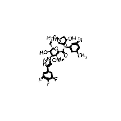 CO[C@@H]1[C@@H](n2cc(-c3cc(F)c(F)c(F)c3)nn2)[C@@H](O)[C@@H](CO)O[C@H]1C(=O)N(c1cc(C)cc(Br)c1)[C@H]1CN(C)C[C@@H]1O